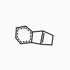 c1ccc2c(c1)C1=C2CC1